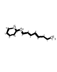 FC(F)(F)CCCCCCCOC1CCCCO1